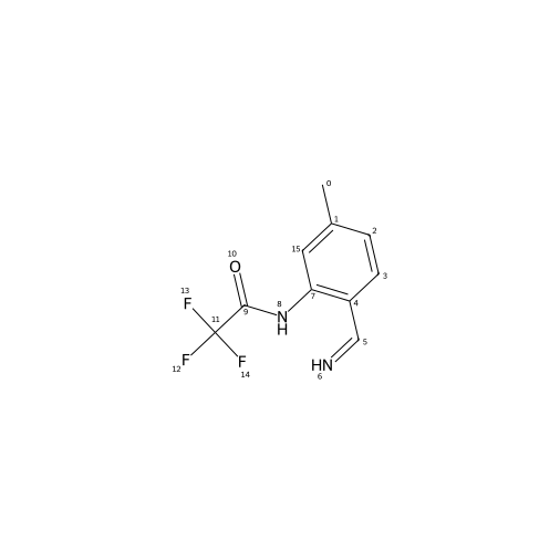 Cc1ccc(C=N)c(NC(=O)C(F)(F)F)c1